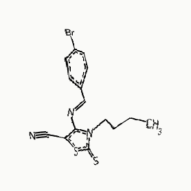 CCCCn1c(/N=C/c2ccc(Br)cc2)c(C#N)sc1=S